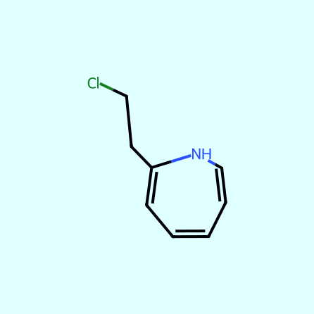 ClCCC1=CC=CC=CN1